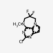 CN1CC(F)(F)Cn2ccc3nc(Cl)nc1c32